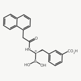 O=C(Cc1cccc2ccccc12)N[C@@H](Cc1cccc(C(=O)O)c1)B(O)O